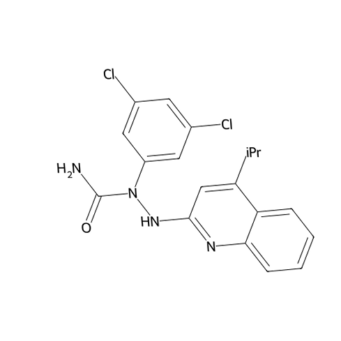 CC(C)c1cc(NN(C(N)=O)c2cc(Cl)cc(Cl)c2)nc2ccccc12